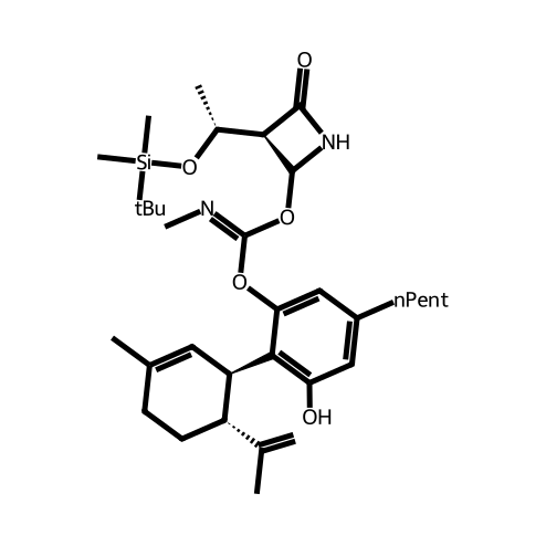 C=C(C)[C@@H]1CCC(C)=C[C@H]1c1c(O)cc(CCCCC)cc1O/C(=N\C)OC1NC(=O)[C@@H]1[C@@H](C)O[Si](C)(C)C(C)(C)C